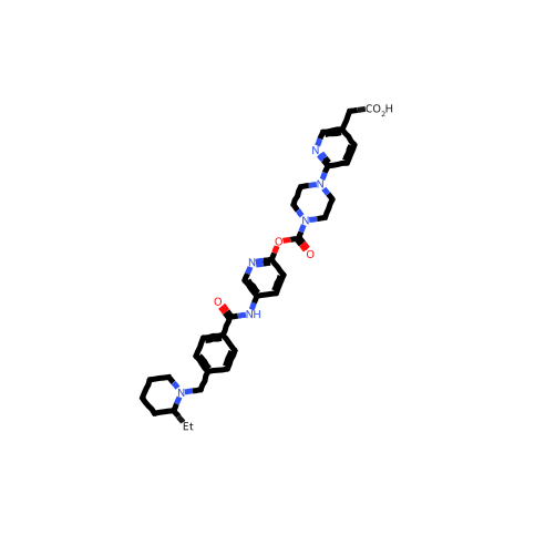 CCC1CCCCN1Cc1ccc(C(=O)Nc2ccc(OC(=O)N3CCN(c4ccc(CC(=O)O)cn4)CC3)nc2)cc1